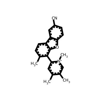 Cc1cc(-c2c(C)ccc3c2oc2ccc(C#N)cc23)[n+](C)cc1C